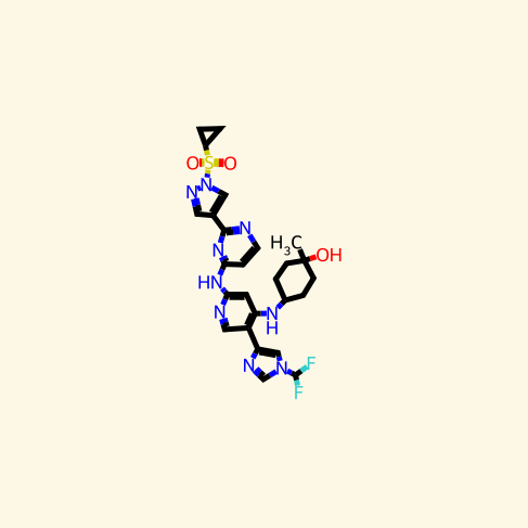 CC1(O)CCC(Nc2cc(Nc3ccnc(-c4cnn(S(=O)(=O)C5CC5)c4)n3)ncc2-c2cn(C(F)F)cn2)CC1